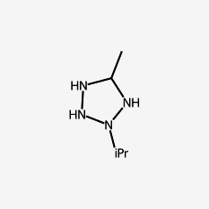 CC1NNN(C(C)C)N1